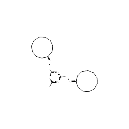 Clc1nc(ON=C2CCCCCCCCCC2)nc(ON=C2CCCCCCCCCC2)n1